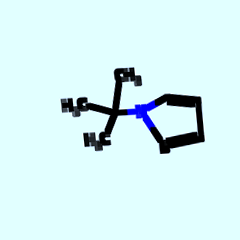 CC(C)(C)n1bccc1